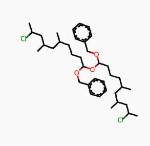 CC(Cl)CC(C)CC(C)CCCC(OCc1ccccc1)OC(CCCC(C)CC(C)CC(C)Cl)OCc1ccccc1